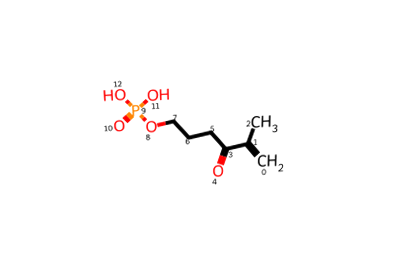 C=C(C)C(=O)CCCOP(=O)(O)O